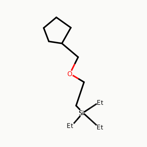 CC[Si](CC)(CC)CCOCC1CCCC1